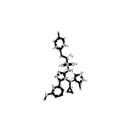 COc1cccc(-c2nnc(NS(=O)(=O)[C@@H](C)Cc3ncc(C)cn3)n2[C@@H](c2conc2C)C2CC2)n1